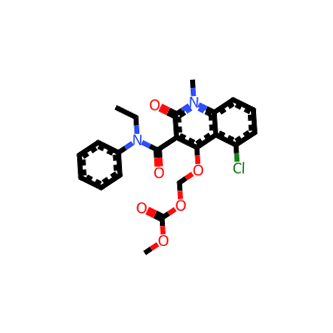 CCN(C(=O)c1c(OCOC(=O)OC)c2c(Cl)cccc2n(C)c1=O)c1ccccc1